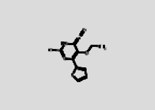 CCOC1=C(c2cccs2)N=C(Cl)NC1=C=O